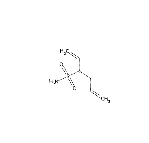 C=CC[C](C=C)S(N)(=O)=O